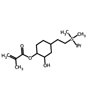 C=C(C)C(=O)OC1CCC(CCS(C)(C)C(C)C)CC1O